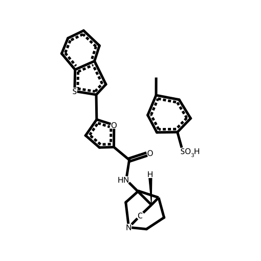 Cc1ccc(S(=O)(=O)O)cc1.O=C(N[C@H]1CN2CCC1CC2)c1ccc(-c2cc3ccccc3s2)o1